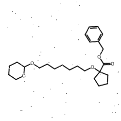 O=C(OCc1ccccc1)C1(OCCCCCCCOC2CCCCO2)CCCC1